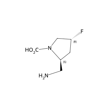 NC[C@@H]1C[C@@H](F)CN1C(=O)O